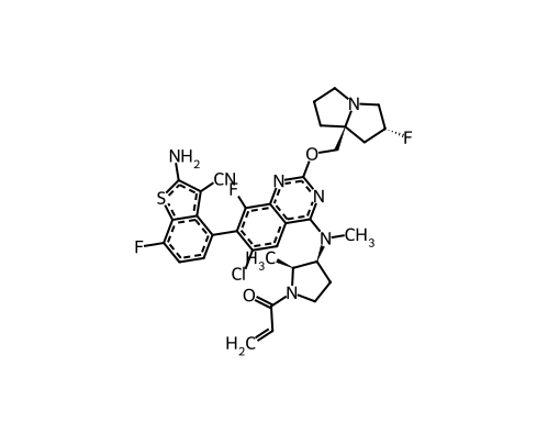 C=CC(=O)N1CC[C@H](N(C)c2nc(OC[C@@]34CCCN3C[C@H](F)C4)nc3c(F)c(-c4ccc(F)c5sc(N)c(C#N)c45)c(Cl)cc23)[C@@H]1C